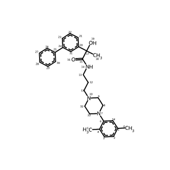 Cc1ccc(C)c(N2CCN(CCCNC(=O)C(C)(O)c3cccc(-c4ccccc4)c3)CC2)c1